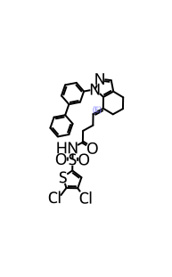 O=C(CC/C=C1\CCCc2cnn(-c3cccc(-c4ccccc4)c3)c21)NS(=O)(=O)c1cc(Cl)c(Cl)s1